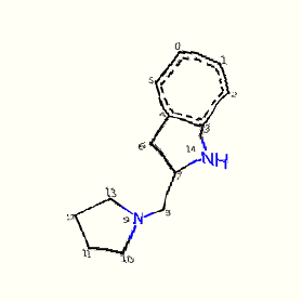 c1ccc2c(c1)CC(CN1CCCC1)N2